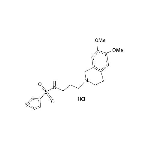 COc1cc2c(cc1OC)CN(CCCNS(=O)(=O)c1ccsc1)CC2.Cl